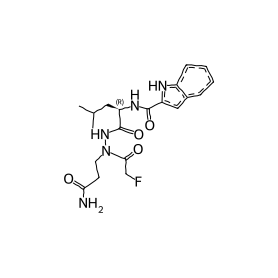 CC(C)C[C@@H](NC(=O)c1cc2ccccc2[nH]1)C(=O)NN(CCC(N)=O)C(=O)CF